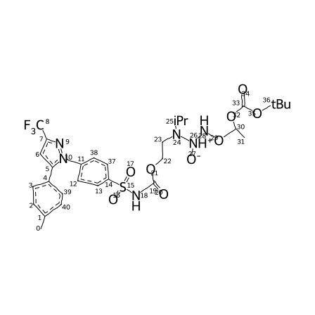 Cc1ccc(-c2cc(C(F)(F)F)nn2-c2ccc(S(=O)(=O)NC(=O)OCCN(C(C)C)[NH+]([O-])NOC(C)OC(=O)OC(C)(C)C)cc2)cc1